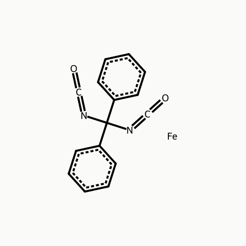 O=C=NC(N=C=O)(c1ccccc1)c1ccccc1.[Fe]